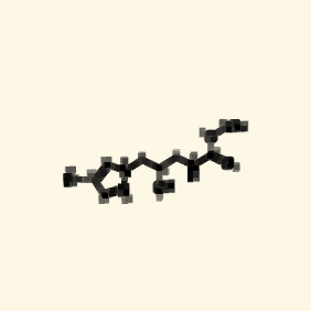 CC(C)(C)OC(=O)NCC(O)Cn1cc(Br)cn1